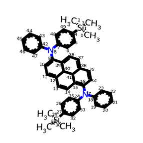 C[Si](C)(C)c1ccc(N(C2=CC=C3C=CC4=C(N(c5ccccc5)c5ccc([Si](C)(C)C)cc5)C=CC5=CC=C2C3C54)c2ccccc2)cc1